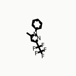 Cc1cc(C(F)(F)C(F)(F)F)nn1-c1ccccc1